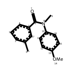 [CH2]c1cccc(C(=O)N(C)c2ccc(OC)cc2)c1